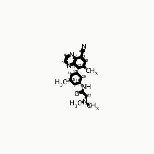 CC1C=C(C#N)c2nccnc2C1[C@H]1C[C@@H](C)C[C@@H](NC(=O)CN(C)C)C1